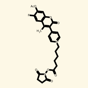 CC(=O)Oc1cc2oc(=O)c(-c3cc[n+](CCCCCC(=O)ON4C(=O)CCC4=O)cc3)c(C)c2cc1F